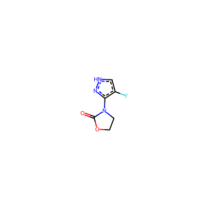 O=C1OCCN1c1n[nH]cc1F